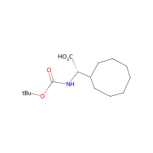 CC(C)(C)OC(=O)N[C@H](C(=O)O)C1CCCCCCC1